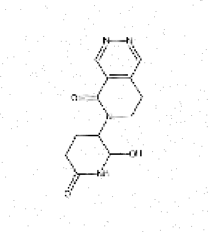 O=C1CCC(N2CCc3cnncc3C2=O)C(O)N1